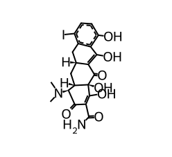 CN(C)[C@@H]1C(=O)C(C(N)=O)=C(O)[C@@]2(O)C(=O)C3=C(O)c4c(O)ccc(I)c4C[C@H]3C[C@@H]12